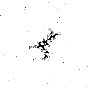 CCCC(=O)OC(C)OC(=O)C1=C(COC)CS[C@H]2C(NC(=O)C(=NOCC)C(=O)CCl)C(=O)N12